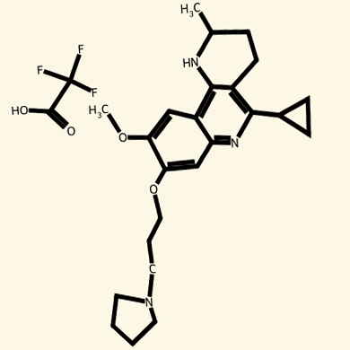 COc1cc2c3c(c(C4CC4)nc2cc1OCCCN1CCCC1)CCC(C)N3.O=C(O)C(F)(F)F